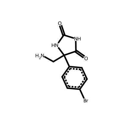 NCC1(c2ccc(Br)cc2)NC(=O)NC1=O